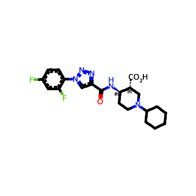 O=C(N[C@@H]1CCN(C2CCCCC2)C[C@H]1C(=O)O)c1cn(-c2ccc(F)cc2F)nn1